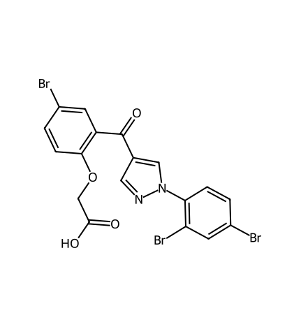 O=C(O)COc1ccc(Br)cc1C(=O)c1cnn(-c2ccc(Br)cc2Br)c1